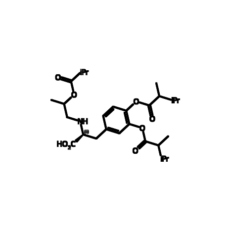 CC(CN[C@@H](Cc1ccc(OC(=O)C(C)C(C)C)c(OC(=O)C(C)C(C)C)c1)C(=O)O)OC(=O)C(C)C